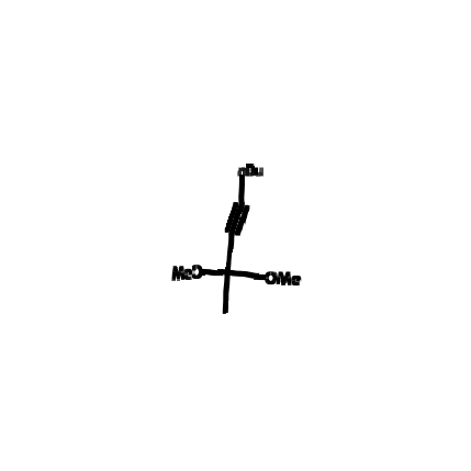 [CH2]CCCC#CC(C)(OC)OC